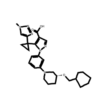 Cn1cc(C2(c3c(C(=O)O)cnn3-c3cccc(N4CCC[C@@H](OCC5CCCCC5)C4)c3)CC2)nn1